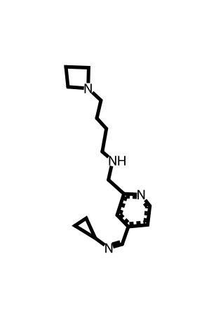 C(=N/C1CC1)/c1ccnc(CNCCCCN2CCC2)c1